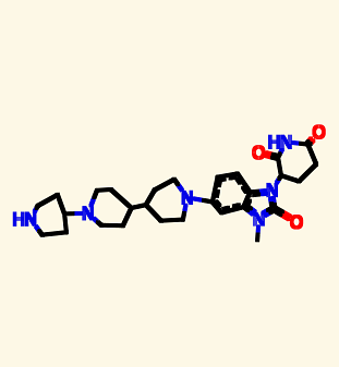 Cn1c(=O)n(C2CCC(=O)NC2=O)c2ccc(N3CCC(C4CCN(C5CCNCC5)CC4)CC3)cc21